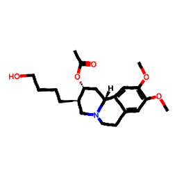 COc1cc2c(cc1OC)[C@H]1C[C@@H](OC(C)=O)[C@H](CCCCO)CN1CC2